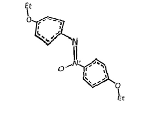 CCOc1ccc(N=[N+]([O-])c2ccc(OCC)cc2)cc1